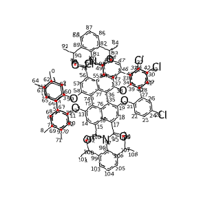 Cc1ccc(-c2cc(C)ccc2Oc2cc3c4c(cc(Oc5ccc(Cl)cc5-c5ccc(Cl)cc5)c5c6c(Oc7ccc(Cl)cc7-c7ccc(Cl)cc7)cc7c8c(cc(Oc9ccc(C)cc9-c9ccc(C)cc9)c(c2c45)c86)C(=O)N(c2c(C(C)C)cccc2C(C)C)C7=O)C(=O)N(c2c(C(C)C)cccc2C(C)C)C3=O)cc1